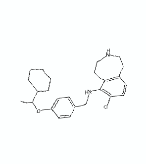 CC(Oc1ccc(CNc2c(Cl)ccc3c2CCNCC3)cc1)C1CCCCC1